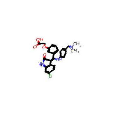 CN(C)Cc1ccc(NC(=C2C(=O)Nc3cc(Cl)ccc32)c2cccc(OCC(=O)O)c2)cc1